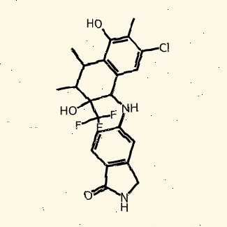 Cc1c(Cl)cc2c(c1O)C(C)C(C)C(O)(C(F)(F)F)C2Nc1ccc2c(c1)CNC2=O